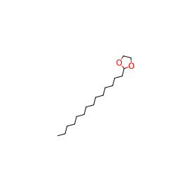 CCCCCCCCCCCCCCC1OCCO1